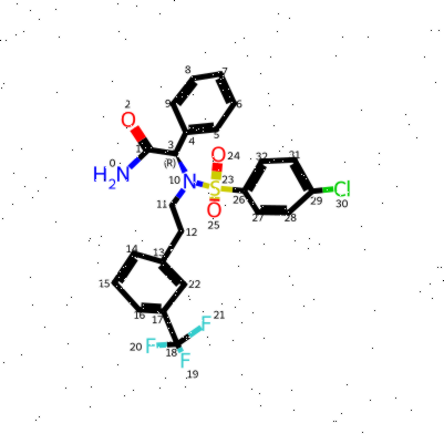 NC(=O)[C@@H](c1ccccc1)N(CCc1cccc(C(F)(F)F)c1)S(=O)(=O)c1ccc(Cl)cc1